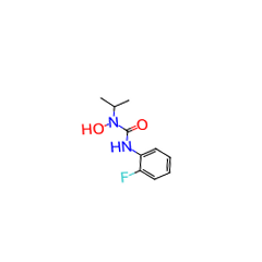 CC(C)N(O)C(=O)Nc1ccccc1F